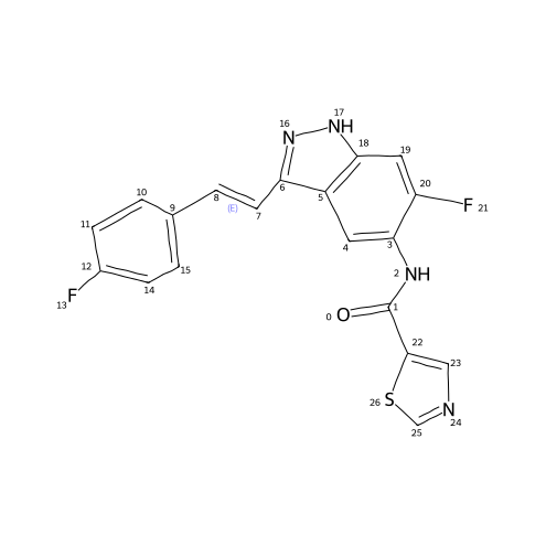 O=C(Nc1cc2c(/C=C/c3ccc(F)cc3)n[nH]c2cc1F)c1cncs1